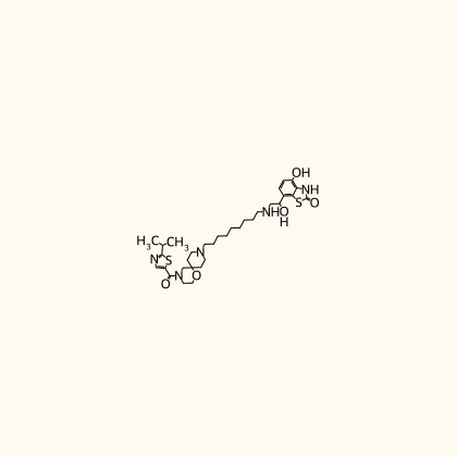 CC(C)c1ncc(C(=O)N2CCOC3(CCN(CCCCCCCCCNC[C@H](O)c4ccc(O)c5[nH]c(=O)sc45)CC3)C2)s1